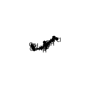 CC1(C)CCC(c2ccc(Cl)cc2)=C(CN2CCN(c3ccc(C(=O)NS(=O)(=O)c4ccc(N[C@H](CCN5CCN(CCCCCOc6cccc7c6CN(C6CCC(=O)NC6=O)C7=O)CC5)CSc5ccccc5)c(S(=O)(=O)C(F)(F)F)c4)cc3)CC2)C1